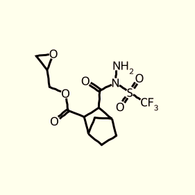 NN(C(=O)C1C2CCC(C2)C1C(=O)OCC1CO1)S(=O)(=O)C(F)(F)F